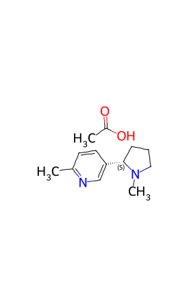 CC(=O)O.Cc1ccc([C@@H]2CCCN2C)cn1